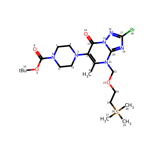 Cc1c(N2CCN(C(=O)OC(C)(C)C)CC2)c(=O)n2nc(Br)nc2n1COCCS(C)(C)C